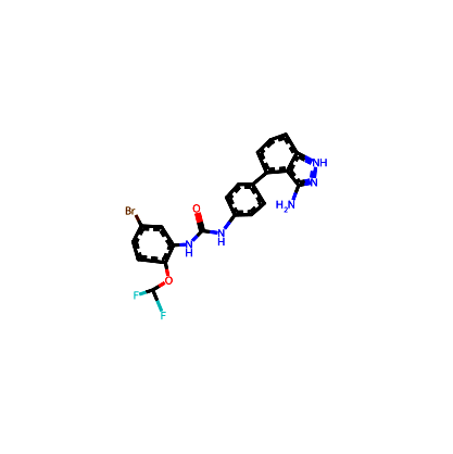 Nc1n[nH]c2cccc(-c3ccc(NC(=O)Nc4cc(Br)ccc4OC(F)F)cc3)c12